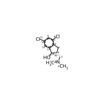 CN(C)C[C@H]1Cc2c(Cl)cc(Cl)cc2C1O